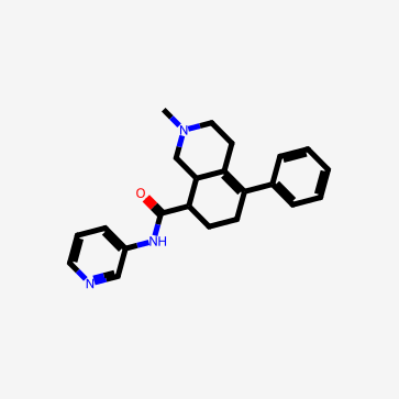 CN1CCC2=C(c3ccccc3)CCC(C(=O)Nc3cccnc3)C2C1